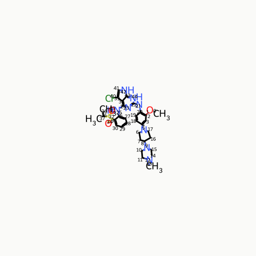 COc1cc(N2CCC(N3CCN(C)CC3)CC2)ccc1Nc1nc(Nc2ccccc2S(=O)(=O)C(C)C)c2c(Cl)c[nH]c2n1